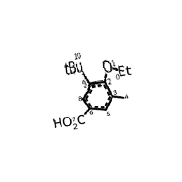 CCOc1c(C)cc(C(=O)O)cc1C(C)(C)C